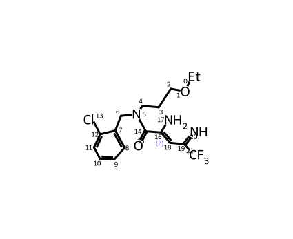 CCOCCCN(Cc1ccccc1Cl)C(=O)/C(N)=C/C(=N)C(F)(F)F